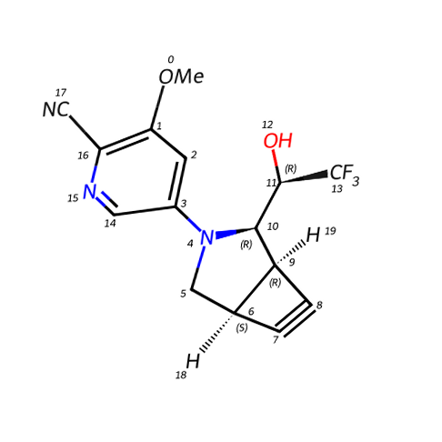 COc1cc(N2C[C@@H]3C#C[C@@H]3[C@@H]2[C@@H](O)C(F)(F)F)cnc1C#N